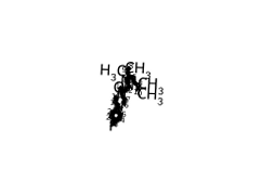 CCC(C)c1cc(C(C)C)nn1CC(=O)N1CCN(c2ccc(F)cc2)CC1